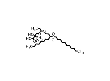 CCCCCCCCCCCS(=O)(=O)C(CCCCCCCC)CCOC(CC)OCC(O)([PH2]=O)C(=O)O